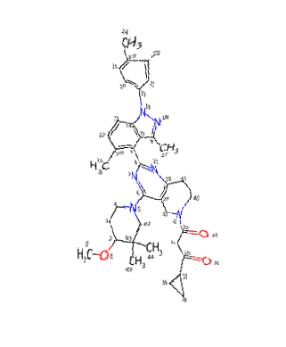 COC1CCN(c2nc(-c3c(C)ccc4c3c(C)nn4-c3ccc(C)cc3)nc3c2CN(C(=O)CC(=O)C2CC2)CC3)CC1(C)C